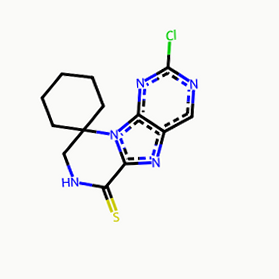 S=C1NCC2(CCCCC2)n2c1nc1cnc(Cl)nc12